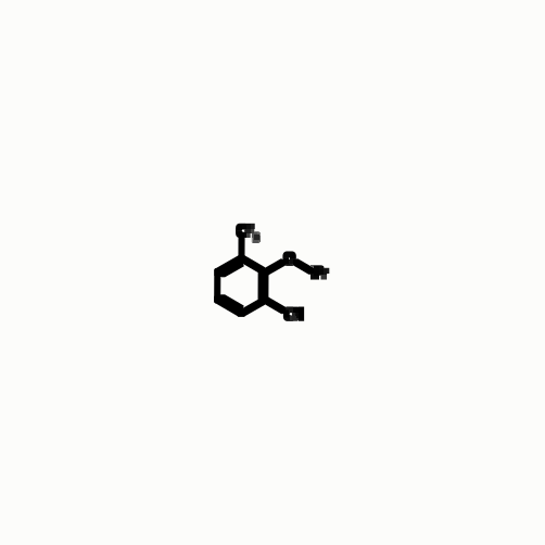 CC(C)Oc1c(C#N)cccc1C(F)(F)F